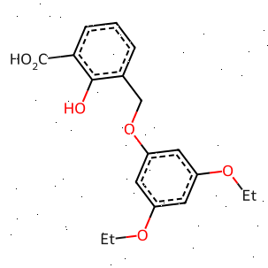 CCOc1cc(OCC)cc(OCc2cccc(C(=O)O)c2O)c1